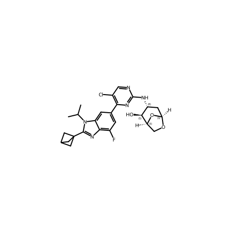 CC(C)n1c(C23CC(C2)C3)nc2c(F)cc(-c3nc(N[C@@H]4C[C@H]5OC[C@H](O5)[C@H]4O)ncc3Cl)cc21